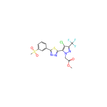 COC(=O)Cn1nc(C(F)(F)F)c(Cl)c1-c1nnc(-c2cccc(S(C)(=O)=O)c2)s1